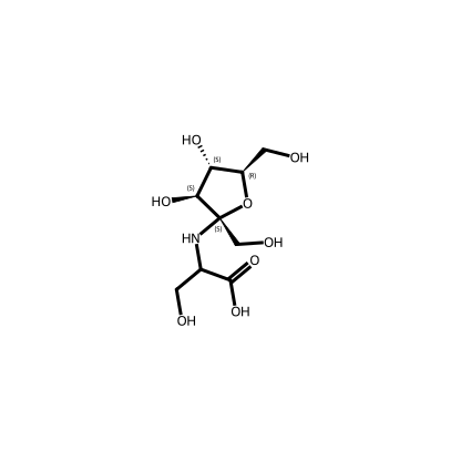 O=C(O)C(CO)N[C@@]1(CO)O[C@H](CO)[C@@H](O)[C@@H]1O